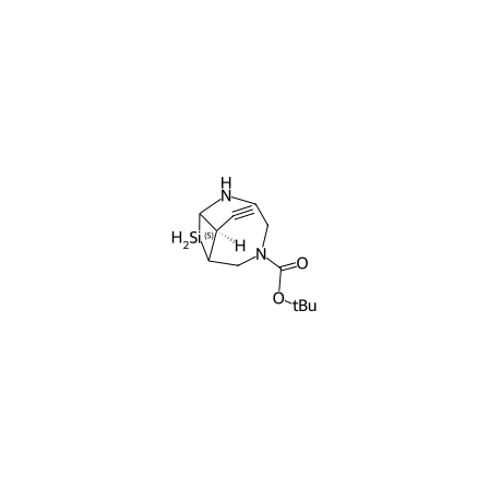 C#C[C@H]1C2CN(C(=O)OC(C)(C)C)CCNC1[SiH2]2